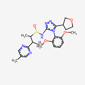 COc1cccc(OC)c1-n1c(N[S+]([O-])C(C)C(C)c2ncc(C)cn2)nnc1C1CCOC1